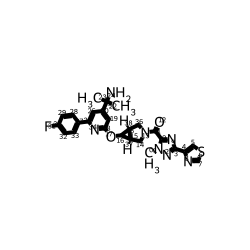 Cn1nc(-c2cscn2)nc1C(=O)N1C[C@@H]2C(Oc3cc(C(C)(C)N)cc(-c4ccc(F)cc4)n3)[C@@H]2C1